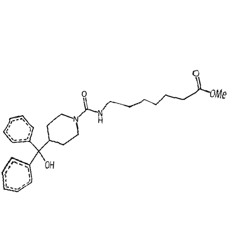 COC(=O)CCCCCCNC(=O)N1CCC(C(O)(c2ccccc2)c2ccccc2)CC1